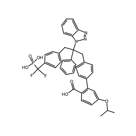 CC(C)Oc1ccc(C(=O)O)c(-c2ccc(CC(Cc3ccc(C(F)(F)P(=O)(O)O)cc3)(c3ccccc3)n3nnc4ccccc43)cc2)c1